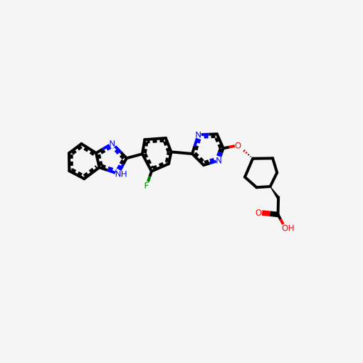 O=C(O)C[C@H]1CC[C@H](Oc2cnc(-c3ccc(-c4nc5ccccc5[nH]4)c(F)c3)cn2)CC1